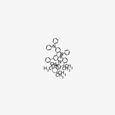 Cc1ccccc1-c1cc2c3c(c1)N1c4cc5c(cc4C(C)(C)c4cccc(c41)B3N(c1ccccc1)c1ccc(N(c3ccccc3)c3ccccc3)cc1-2)C(C)(C)CCC5(C)C